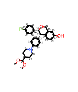 COC(OC)C1CCN(c2ccc([C@H]3c4ccc(O)cc4CO[C@H]3c3ccc(F)cc3)cc2)CC1